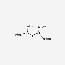 CCCCC[CH2][Al]([CH2]CCCCC)[O][Al]([CH2]CCCCC)[CH2]CCCCC